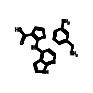 NCc1cccc(N)c1.O=C(O)c1ccsc1Nc1ccnc2[nH]ccc12